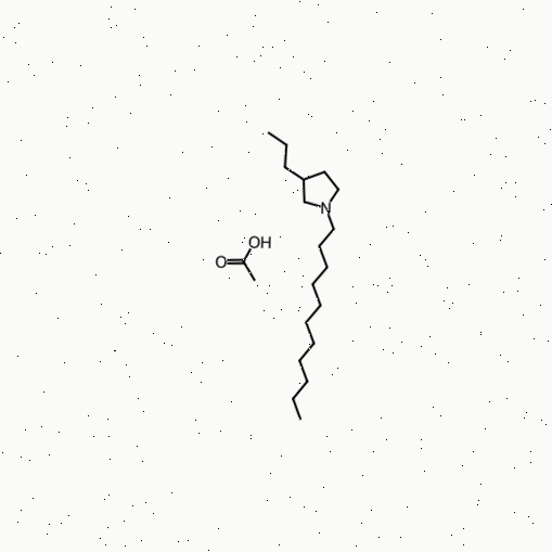 CC(=O)O.CCCCCCCCCCCN1CCC(CCC)C1